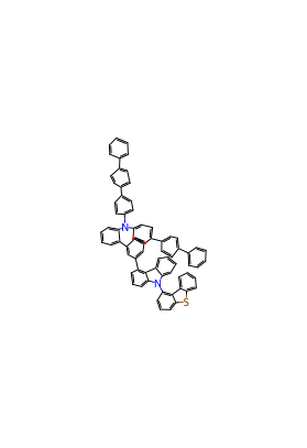 c1ccc(-c2ccc(-c3ccc(N(c4ccc(-c5ccc(-c6ccccc6)cc5)cc4)c4ccccc4-c4cccc(-c5cccc6c5c5ccccc5n6-c5cccc6sc7ccccc7c56)c4)cc3)cc2)cc1